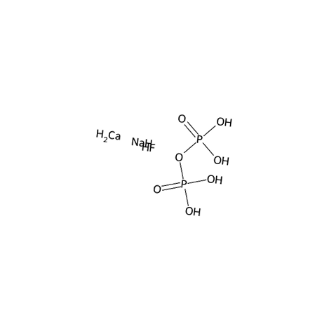 F.O=P(O)(O)OP(=O)(O)O.[CaH2].[NaH]